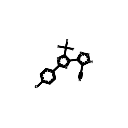 N#Cc1[nH]nnc1-c1nc(-c2ccc(Cl)cc2)sc1C(F)(F)F